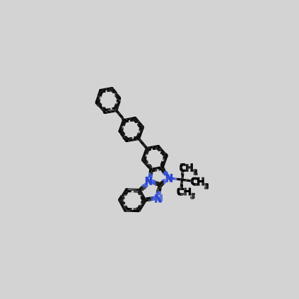 CC(C)(C)n1c2ccc(-c3ccc(-c4ccccc4)cc3)cc2n2c3ccccc3nc12